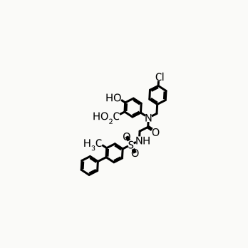 Cc1cc(S(=O)(=O)NCC(=O)N(Cc2ccc(Cl)cc2)c2ccc(O)c(C(=O)O)c2)ccc1-c1ccccc1